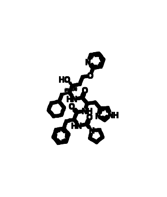 O=C(N[C@@H](CC1CCCCC1)[C@@H](O)CCOc1ccccn1)C(Cc1c[nH]cn1)NC(=O)C(Cc1ccccc1)NC(=O)N1CCCC1